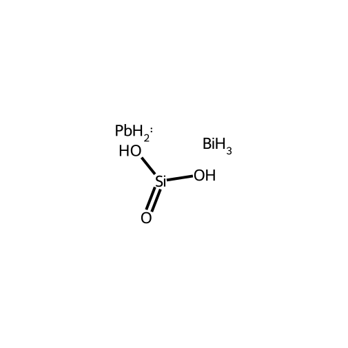 O=[Si](O)O.[BiH3].[PbH2]